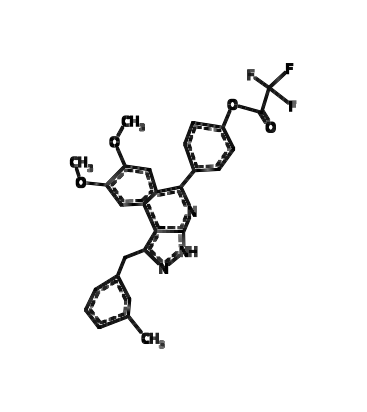 COc1cc2c(-c3ccc(OC(=O)C(F)(F)F)cc3)nc3[nH]nc(Cc4cccc(C)c4)c3c2cc1OC